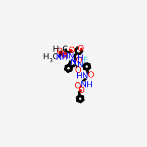 CNC(=O)OC(C)C(=O)NC(C(=O)N1Cc2ccccc2[C@H]1C(=O)Nc1cc(C(=O)NCCNC(=O)OCc2ccccc2)ccc1F)C1CCOCC1